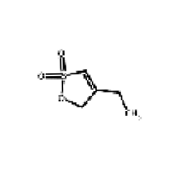 CCC1=CS(=O)(=O)OC1